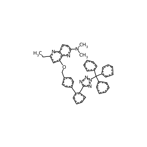 CCc1cc(OCc2ccc(-c3ccccc3-c3nnn(C(c4ccccc4)(c4ccccc4)c4ccccc4)n3)cc2)c2nc(N(C)C)ccc2n1